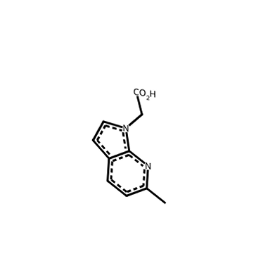 Cc1ccc2ccn(CC(=O)O)c2n1